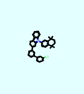 CC1(C)CCC(C)(C)c2cc(-n3c4ccccc4c4ccc(-c5cccc(-c6cccc(Cl)c6)c5)cc43)ccc21